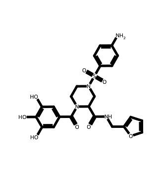 Nc1ccc(S(=O)(=O)N2CCN(C(=O)c3cc(O)c(O)c(O)c3)C(C(=O)NCc3ccco3)C2)cc1